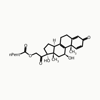 CCCCCC(=O)OCC(=O)[C@@]1(O)CC[C@H]2C3=C([C@@H](O)C[C@@]21C)[C@@]1(C)C=CC(=O)C=C1CC3